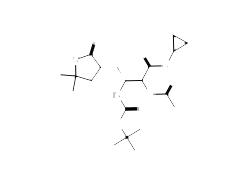 CC(=O)OC(C(=O)NC1CC1)[C@H](C[C@@H]1CC(C)(C)NC1=O)NC(=O)OC(C)(C)C